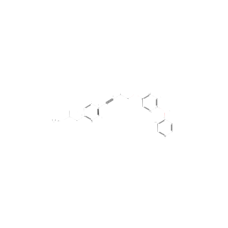 COC(Cc1ccc(C#CCCOc2ccc(Oc3ccccc3)cc2)cc1)C(=O)O